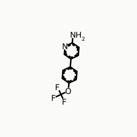 Nc1ccc(-c2ccc(OC(F)(F)F)cc2)cn1